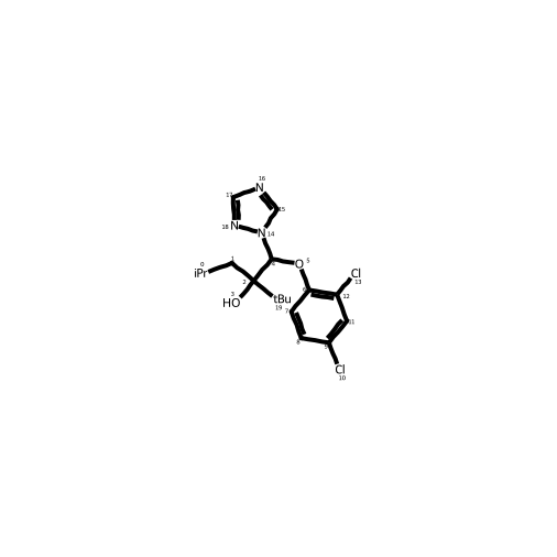 CC(C)CC(O)(C(Oc1ccc(Cl)cc1Cl)n1cncn1)C(C)(C)C